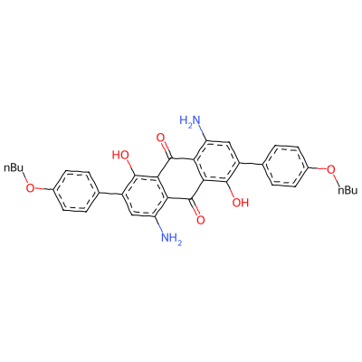 CCCCOc1ccc(-c2cc(N)c3c(c2O)C(=O)c2c(N)cc(-c4ccc(OCCCC)cc4)c(O)c2C3=O)cc1